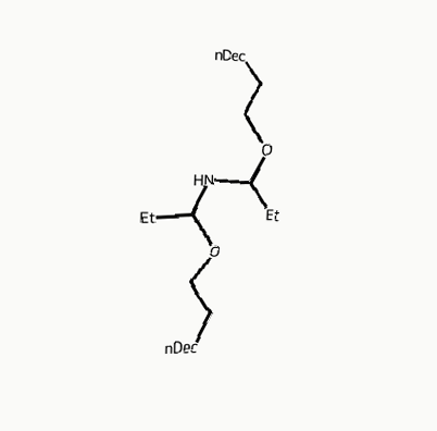 CCCCCCCCCCCCOC(CC)NC(CC)OCCCCCCCCCCCC